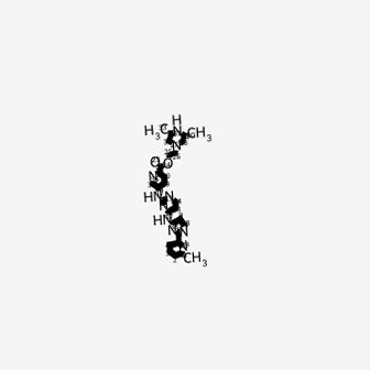 Cc1cccc(-c2nccc(Nc3ccnc(Nc4ccc(C(=O)OCCN5C[C@@H](C)N[C@@H](C)C5)nc4)n3)n2)n1